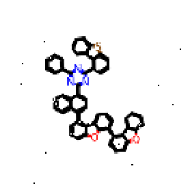 c1ccc(-c2nc(-c3ccc(-c4cccc5oc6c(-c7cccc8oc9ccccc9c78)cccc6c45)c4ccccc34)nc(-c3cccc4sc5ccccc5c34)n2)cc1